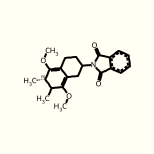 COC1=C2CC(N3C(=O)c4ccccc4C3=O)CCC2=C(OC)[C@@H](C)C1C